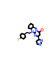 O=c1cc(-c2ccncn2)nc2n1Cc1ccccc1N2CCc1ccc(F)cc1